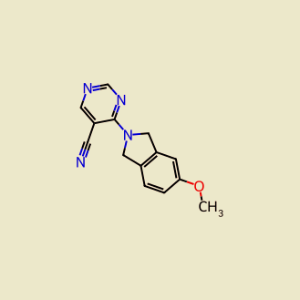 COc1ccc2c(c1)CN(c1ncncc1C#N)C2